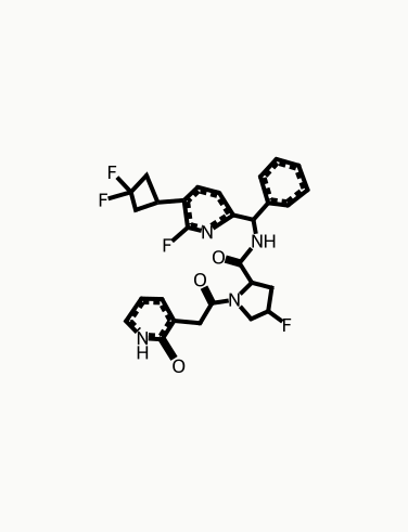 O=C(NC(c1ccccc1)c1ccc(C2CC(F)(F)C2)c(F)n1)C1CC(F)CN1C(=O)Cc1ccc[nH]c1=O